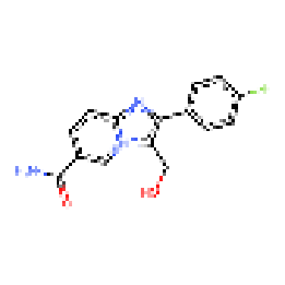 NC(=O)c1ccc2nc(-c3ccc(F)cc3)c(CO)n2c1